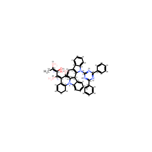 BC(=C)/C(C1=C(N2c3ccccc3C3c4c(c5ccccc5n4-c4nc(-c5ccccc5)nc(-c5ccccc5)n4)C=CC32)CCC=C1)=C(B)\C(O)=C(\B)C